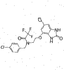 O=C(N(CCOc1cc(Cl)cc2[nH]c(=O)[nH]c12)Cc1ccc(Cl)cc1)C(F)(F)F